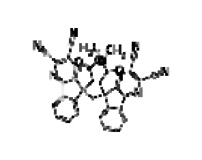 COC(=O)CC1(CC2(CC(=O)OC)c3ccccc3-c3nc(C#N)c(C#N)nc32)c2ccccc2-c2nc(C#N)c(C#N)nc21